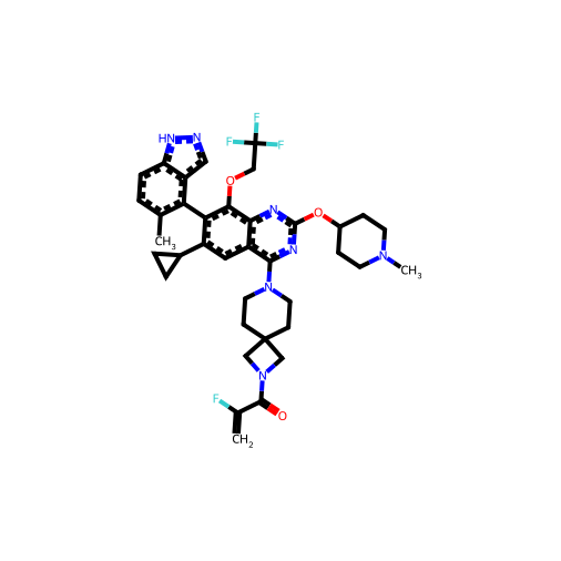 C=C(F)C(=O)N1CC2(CCN(c3nc(OC4CCN(C)CC4)nc4c(OCC(F)(F)F)c(-c5c(C)ccc6[nH]ncc56)c(C5CC5)cc34)CC2)C1